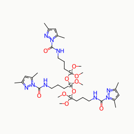 CO[Si](CCCNC(=O)n1nc(C)cc1C)(OC)O[Si](CCCNC(=O)n1nc(C)cc1C)(OC)O[Si](CCCNC(=O)n1nc(C)cc1C)(OC)OC